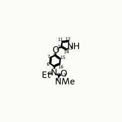 CCN(C(=O)NC)c1ccc(Oc2cc[nH]c2)cc1